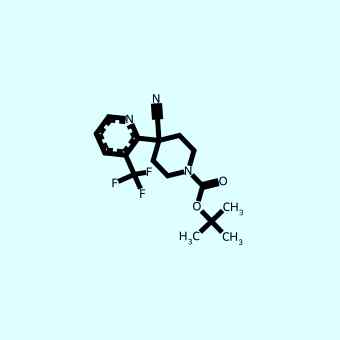 CC(C)(C)OC(=O)N1CCC(C#N)(c2ncccc2C(F)(F)F)CC1